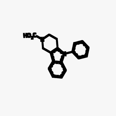 O=C(O)N1CCc2c(c3ccccc3n2-c2ccccc2)C1